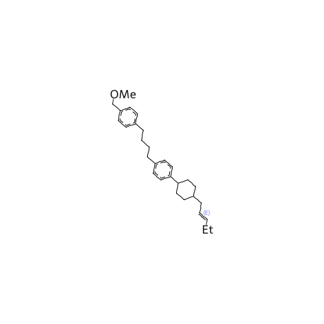 CC/C=C/CC1CCC(c2ccc(CCCCc3ccc(COC)cc3)cc2)CC1